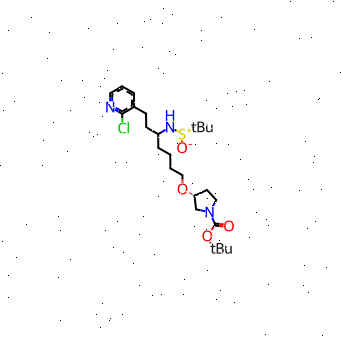 CC(C)(C)OC(=O)N1CC[C@@H](OCCCCC(CCc2cccnc2Cl)N[S+]([O-])C(C)(C)C)C1